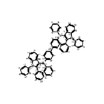 c1ccc(-c2c(N(c3ccccc3)c3ccc(-c4ccc(N(c5ccccc5)c5c(-c6ccccc6)n(-c6ccccc6)c6ccccc56)cc4)cc3)c3ccccc3n2-c2ccccc2)cc1